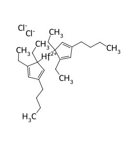 CCCCC1=C[C](CC)([Hf+2][C]2(CC)C=C(CCCC)C=C2CC)C(CC)=C1.[Cl-].[Cl-]